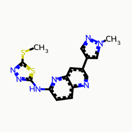 CSc1nnc(Nc2ccc3ncc(-c4cnn(C)c4)cc3n2)s1